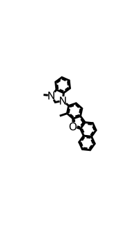 Cc1c(N2CN(C)c3ccccc32)ccc2c1oc1c3ccccc3ccc21